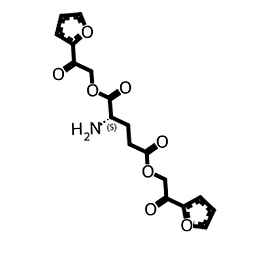 N[C@@H](CCC(=O)OCC(=O)c1ccco1)C(=O)OCC(=O)c1ccco1